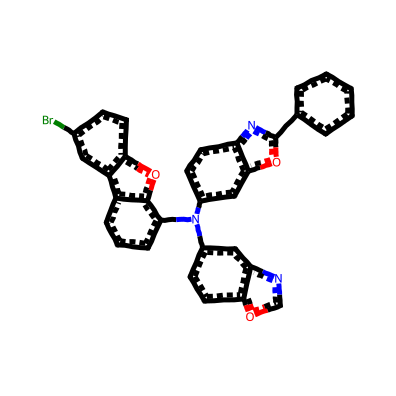 Brc1ccc2oc3c(N(c4ccc5ocnc5c4)c4ccc5nc(-c6ccccc6)oc5c4)cccc3c2c1